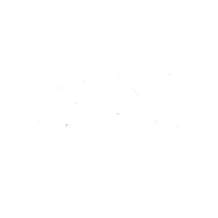 Cc1cnc(Nc2ccc(N3CC(N(C)C(=O)O)CC(C(C)(C)C)C3)nc2)nc1Nc1ccc2oc(=O)[nH]c2c1